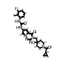 Cc1c(F)cccc1NC(=O)Nc1cc2c(=O)n(CC3(O)CCN(C(=O)C4CC4)CC3)cnn2c1